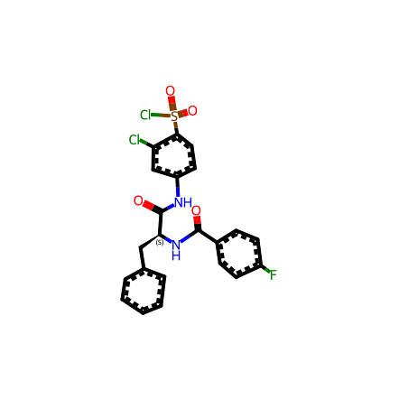 O=C(N[C@@H](Cc1ccccc1)C(=O)Nc1ccc(S(=O)(=O)Cl)c(Cl)c1)c1ccc(F)cc1